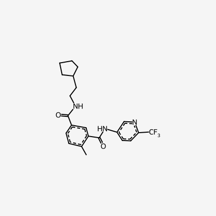 Cc1ccc(C(=O)NCCC2CCCC2)cc1C(=O)Nc1ccc(C(F)(F)F)nc1